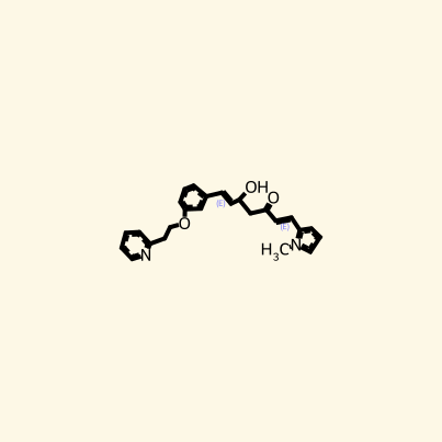 Cn1cccc1/C=C/C(=O)CC(O)/C=C/c1cccc(OCCc2ccccn2)c1